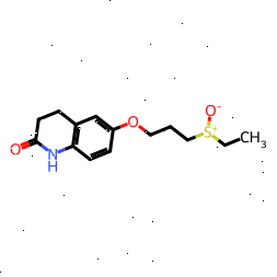 CC[S+]([O-])CCCOc1ccc2c(c1)CCC(=O)N2